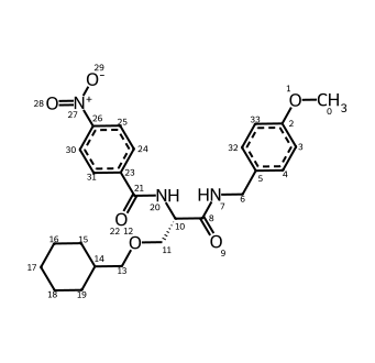 COc1ccc(CNC(=O)[C@H](COCC2CCCCC2)NC(=O)c2ccc([N+](=O)[O-])cc2)cc1